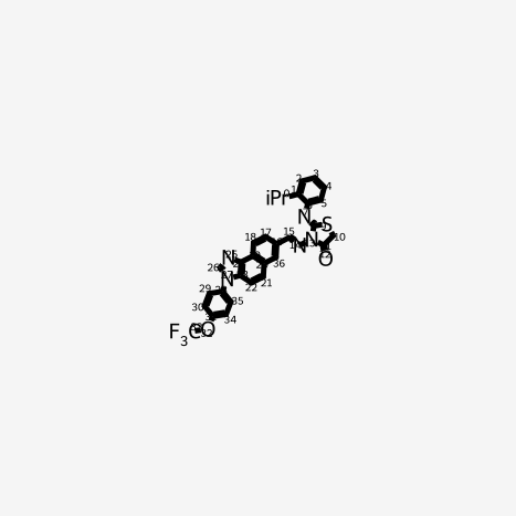 CC(C)c1ccccc1N=C1SCC(=O)N1N=Cc1ccc2c(ccc3c2ncn3-c2ccc(OC(F)(F)F)cc2)c1